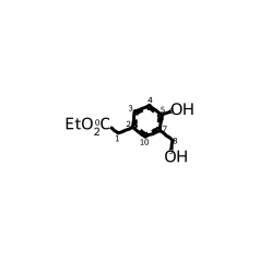 CCOC(=O)Cc1ccc(O)c(CO)c1